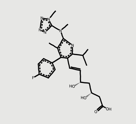 Cc1c(N(C)c2nnnn2C)nc(C(C)C)c(/C=C/[C@@H](O)C[C@@H](O)CC(=O)O)c1-c1ccc(F)cc1